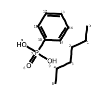 CCCCCC.O=P(O)(O)c1ccccc1